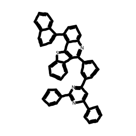 c1ccc(-c2cc(-c3cccc(-c4nc5cccc(-c6cccc7ccccc67)c5c5sc6ccccc6c45)c3)nc(-c3ccccc3)n2)cc1